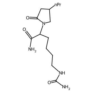 CCCC1CC(=O)N(C(CCCCNC(N)=O)C(N)=O)C1